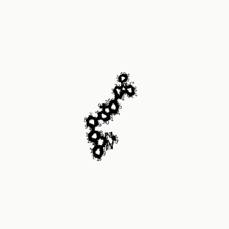 CC1(C)c2cc(-c3cccc(-c4ccc5c6ccccc6c6nccnc6c5c4)c3)ccc2-c2ccc(-c3ccc4c(c3)c3ccccc3n4-c3ccccc3)cc21